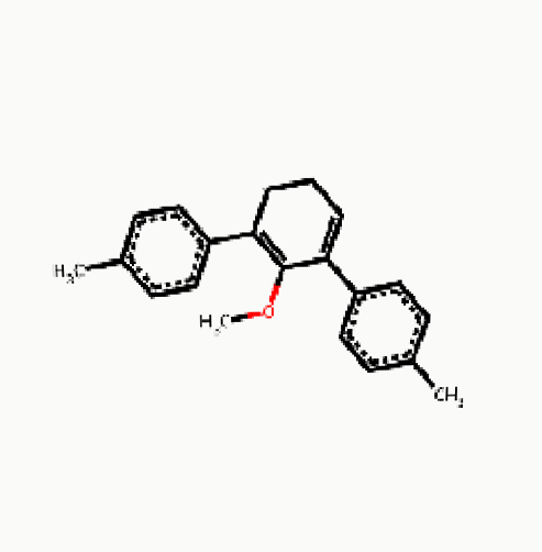 COC1=C(c2ccc(C)cc2)[CH]CC=C1c1ccc(C)cc1